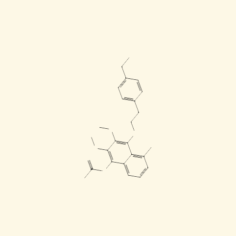 CCc1ccc(CCOc2c(OC)c(OC)c(OC(C)=O)c3cccc(C)c23)cc1